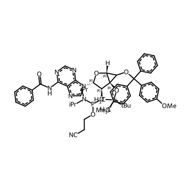 COc1ccc(C(OC2[C@H]3O[C@@H](n4cnc5c(NC(=O)c6ccccc6)ncnc54)[C@H](OP(OCCC#N)N(C(C)C)C(C)C)[C@@]23O[Si](C)(C)C(C)(C)C)(c2ccccc2)c2ccc(OC)cc2)cc1